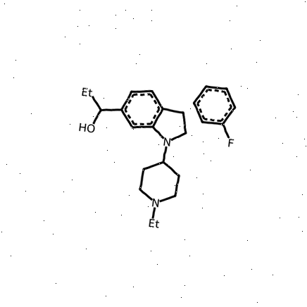 CCC(O)c1ccc2c(c1)N(C1CCN(CC)CC1)CC2.Fc1ccccc1